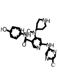 COc1ccc(NC(=O)c2cnc(Nc3cnc(C#N)cn3)cc2N(C)C2CCNCC2)cc1